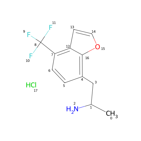 CC(N)Cc1ccc(C(F)(F)F)c2ccoc12.Cl